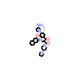 NC1CCN(c2c(F)cc3c(=O)c(C(=O)N4CCC(N5CCCC5)CC4)cn4c3c2Oc2cc3ccccc3cc2-4)C1